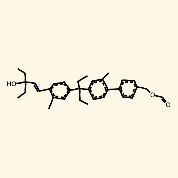 CCC(O)(/C=C/c1ccc(C(CC)(CC)c2ccc(-c3ccc(COC=O)cc3)c(C)c2)cc1C)CC